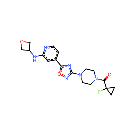 O=C(N1CCN(c2noc(-c3ccnc(NC4COC4)c3)n2)CC1)C1(F)CC1